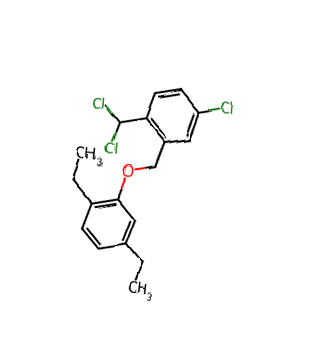 CCc1ccc(CC)c(OCc2cc(Cl)ccc2C(Cl)Cl)c1